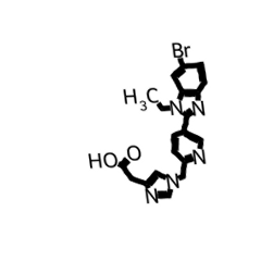 CCn1c(-c2ccc(Cn3cnc(CC(=O)O)c3)nc2)nc2ccc(Br)cc21